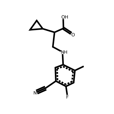 Cc1cc(F)c(C#N)cc1NCC(C(=O)O)C1CC1